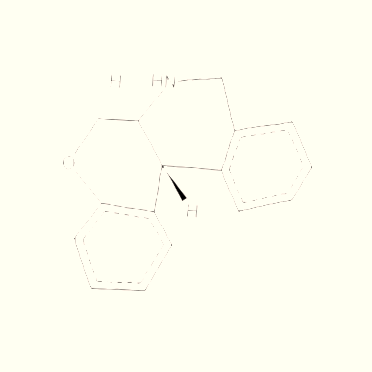 c1ccc2c(c1)CN[C@@H]1COc3ccccc3[C@@H]21